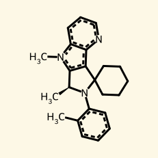 Cc1ccccc1N1[C@@H](C)c2c(c3ncccc3n2C)C12CCCCC2